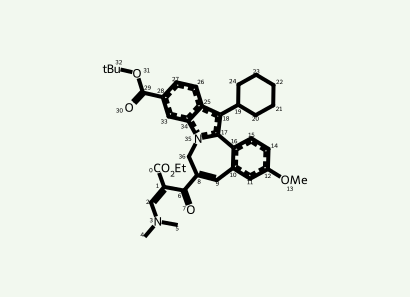 CCOC(=O)/C(=C/N(C)C)C(=O)C1=Cc2cc(OC)ccc2-c2c(C3CCCCC3)c3ccc(C(=O)OC(C)(C)C)cc3n2C1